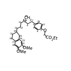 CCOC(=O)COc1ccc(CCN(C)CCCC2CCc3cc(OC)c(OC)cc3C2)cc1